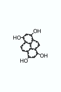 Oc1cc(O)c2ccc3c(O)cc(O)c4ccc1c2c43